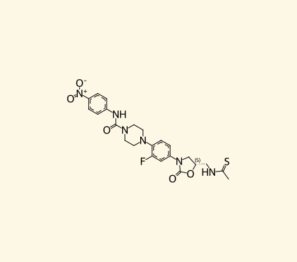 CC(=S)NC[C@H]1CN(c2ccc(N3CCN(C(=O)Nc4ccc([N+](=O)[O-])cc4)CC3)c(F)c2)C(=O)O1